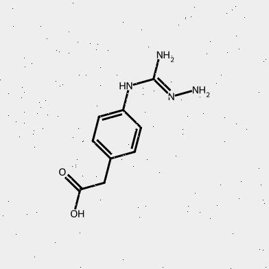 NN=C(N)Nc1ccc(CC(=O)O)cc1